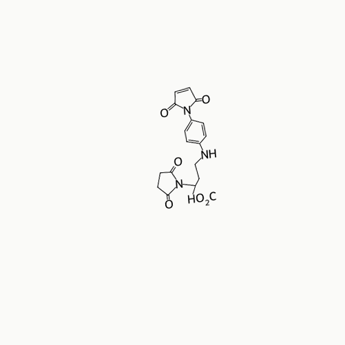 O=C(O)C(CCNc1ccc(N2C(=O)C=CC2=O)cc1)N1C(=O)CCC1=O